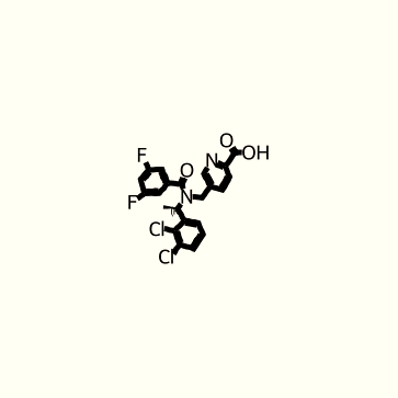 C[C@H](c1cccc(Cl)c1Cl)N(Cc1ccc(C(=O)O)nc1)C(=O)c1cc(F)cc(F)c1